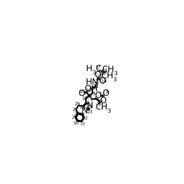 Cc1oc(=O)oc1C[C@@](CCCNC(=O)OC(C)(C)C)(Cc1ncn2c1CCc1ccccc1-2)C(=O)O